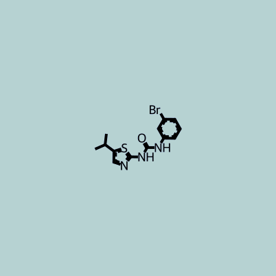 CC(C)c1cnc(NC(=O)Nc2cccc(Br)c2)s1